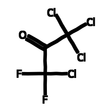 O=C(C(F)(F)Cl)C(Cl)(Cl)Cl